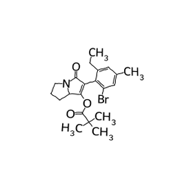 CCc1cc(C)cc(Br)c1C1=C(OC(=O)C(C)(C)C)C2CCCN2C1=O